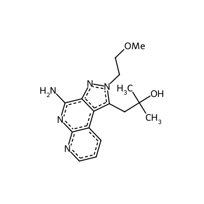 COCCn1nc2c(N)nc3ncccc3c2c1CC(C)(C)O